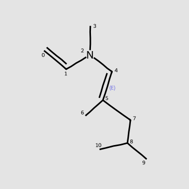 C=CN(C)/C=C(\C)CC(C)C